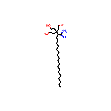 CCCCCCCCCCCCCCCCCCC(=C(N)N)C(CCO)(CCO)CCO